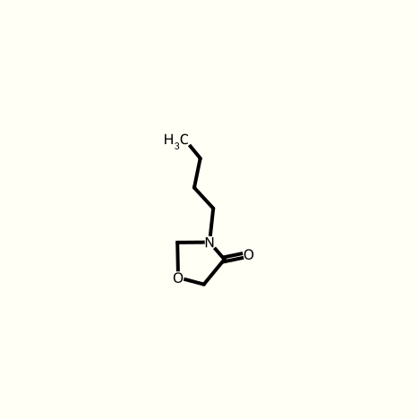 CCCCN1COCC1=O